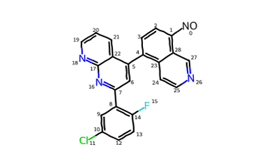 O=Nc1ccc(-c2cc(-c3cc(Cl)ccc3F)nc3ncccc23)c2ccncc12